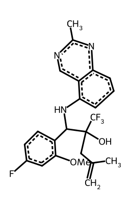 C=C(C)CC(O)(C(Nc1cccc2nc(C)ncc12)c1ccc(F)cc1OC)C(F)(F)F